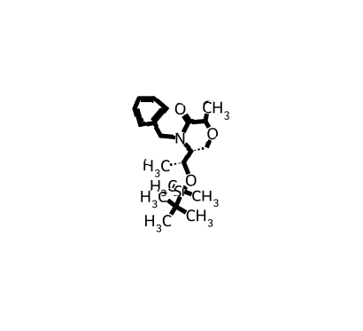 CC1OC[C@H]([C@@H](C)O[Si](C)(C)C(C)(C)C)N(Cc2ccccc2)C1=O